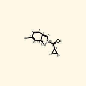 Cc1ccc2cn(C(=O)C3CC3)nc2c1